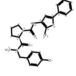 CN(Cc1ccc(Cl)cc1)C(=O)[C@H]1CCCN1C(=O)Nc1cc(-c2ccccc2)oc1C(F)(F)F